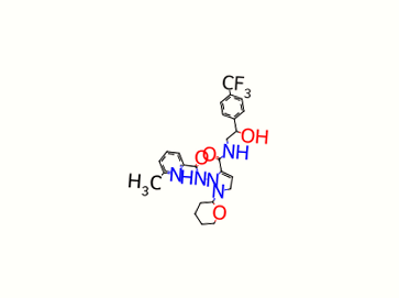 Cc1cccc(C(=O)NN2C(C(=O)NCC(O)c3ccc(C(F)(F)F)cc3)=CCN2C2CCCCO2)n1